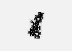 CC(CNc1ncnc2ccccc12)Oc1ccc(Br)cc1